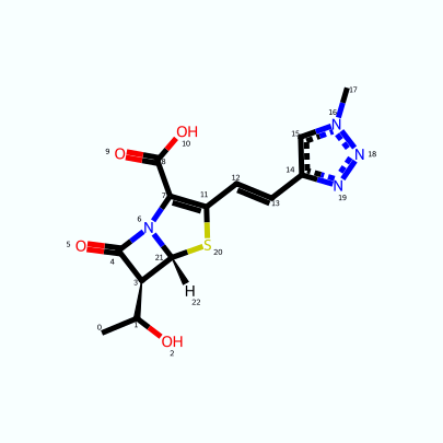 CC(O)[C@H]1C(=O)N2C(C(=O)O)=C(/C=C/c3cn(C)nn3)S[C@H]12